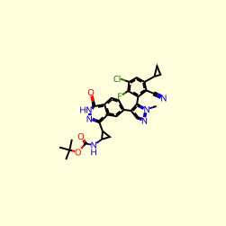 Cn1ncc(-c2ccc3c(=O)[nH]nc(C4CC4NC(=O)OC(C)(C)C)c3c2)c1-c1c(F)c(Cl)cc(C2CC2)c1C#N